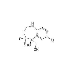 OC[C@@]1(O)c2cc(Cl)ccc2NCCC1(F)F